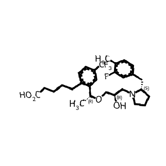 Cc1ccc(C[C@@H]2CCCN2C[C@@H](O)CO[C@H](C)c2cc(C(F)(F)F)ccc2CCCCC(=O)O)cc1F